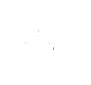 C=C(C)C.O=CO